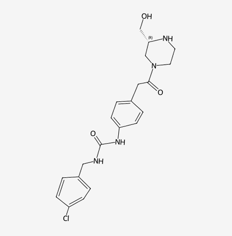 O=C(NCc1ccc(Cl)cc1)Nc1ccc(CC(=O)N2CCN[C@@H](CO)C2)cc1